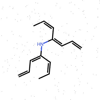 C=C/C=C(\C=C/C)NC(/C=C\C)=C/C=C